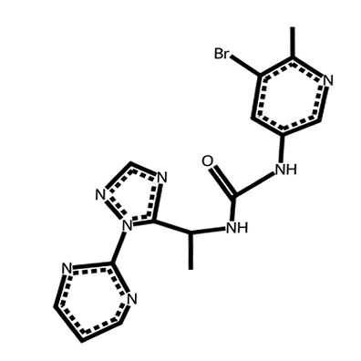 Cc1ncc(NC(=O)NC(C)c2ncnn2-c2ncccn2)cc1Br